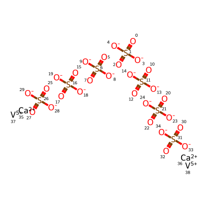 O=S(=O)([O-])[O-].O=S(=O)([O-])[O-].O=S(=O)([O-])[O-].O=S(=O)([O-])[O-].O=S(=O)([O-])[O-].O=S(=O)([O-])[O-].O=S(=O)([O-])[O-].[Ca+2].[Ca+2].[V+5].[V+5]